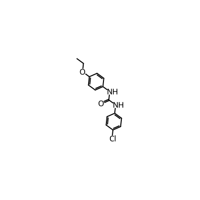 CCOc1ccc(NC(=O)Nc2ccc(Cl)cc2)cc1